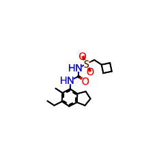 CCc1cc2c(c(NC(=O)NS(=O)(=O)CC3CCC3)c1C)CCC2